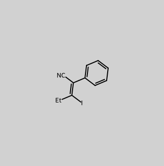 CCC(I)=C(C#N)c1ccccc1